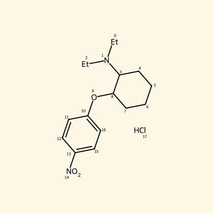 CCN(CC)C1CCCCC1Oc1ccc([N+](=O)[O-])cc1.Cl